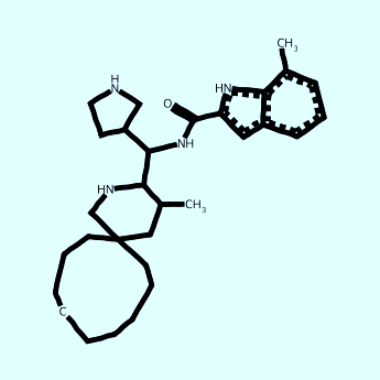 Cc1cccc2cc(C(=O)NC(C3CCNC3)C3NCC4(CCCCCCCCC4)CC3C)[nH]c12